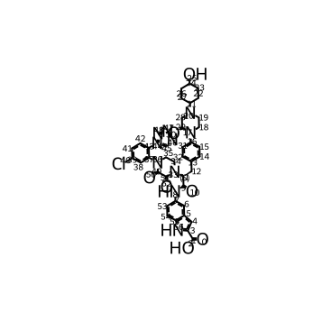 O=C(O)c1cc2cc(NC(=O)[C@H](Cc3ccc(N4CCN(C5CCC(O)CC5)CC4=O)cc3)N3CCN(c4cc(Cl)ccc4-n4cnnn4)C(=O)C3=O)ccc2[nH]1